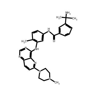 Cc1ccc(NC(=O)c2cccc(C(C)(C)N)c2)cc1Nc1ncnc2ccc(N3CCN(C)CC3)nc12